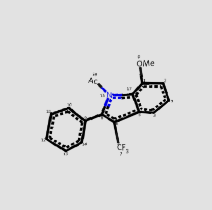 COc1cccc2c(C(F)(F)F)c(-c3ccccc3)n(C(C)=O)c12